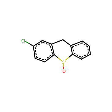 [O-][S+]1c2ccccc2Cc2cc(Cl)ccc21